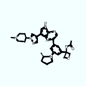 CC(=O)OC1(c2cc(-c3cnc4[nH]cc(-c5cnn(C6CCN(C)CC6)c5)c4n3)cc(N3CCC[C@H]3C)c2)COC1